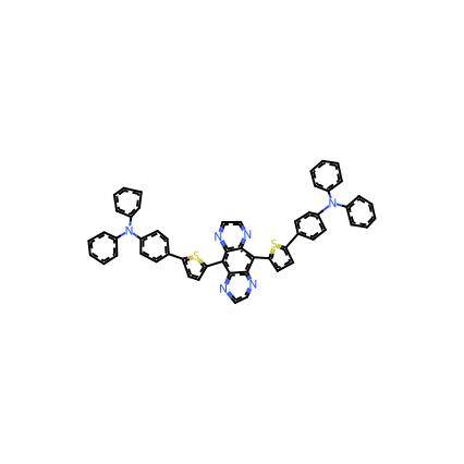 c1ccc(N(c2ccccc2)c2ccc(-c3ccc(-c4c5nccnc5c(-c5ccc(-c6ccc(N(c7ccccc7)c7ccccc7)cc6)s5)c5nccnc45)s3)cc2)cc1